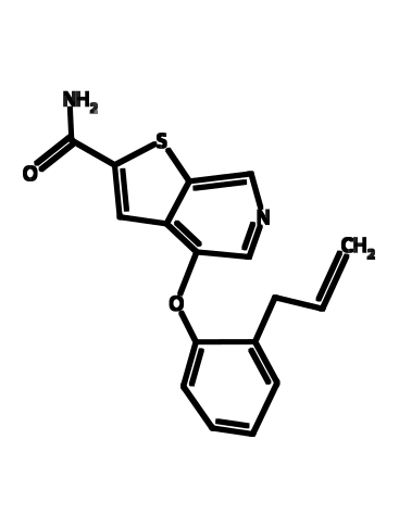 C=CCc1ccccc1Oc1cncc2sc(C(N)=O)cc12